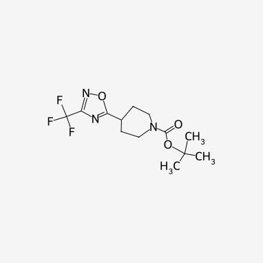 CC(C)(C)OC(=O)N1CCC(c2nc(C(F)(F)F)no2)CC1